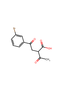 CC(=O)C(CC(=O)c1cccc(Br)c1)C(=O)O